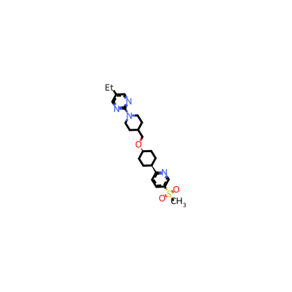 CCc1cnc(N2CCC(CO[C@H]3CC[C@H](c4ccc(S(C)(=O)=O)cn4)CC3)CC2)nc1